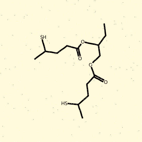 CCC(COC(=O)CCC(C)S)OC(=O)CCC(C)S